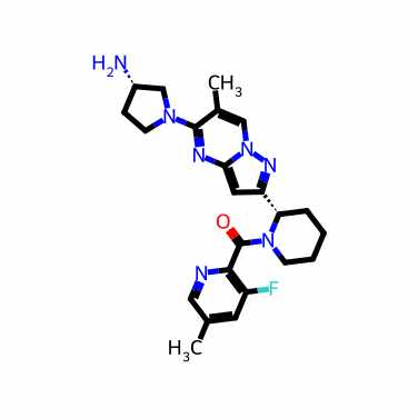 Cc1cnc(C(=O)N2CCCC[C@H]2c2cc3nc(N4CC[C@H](N)C4)c(C)cn3n2)c(F)c1